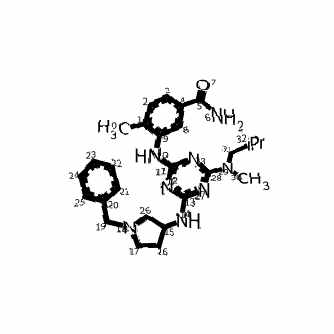 Cc1ccc(C(N)=O)cc1Nc1nc(NC2CCN(Cc3ccccc3)C2)nc(N(C)CC(C)C)n1